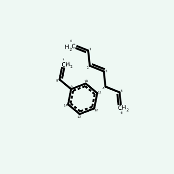 C=CC=CCC=C.C=Cc1ccccc1